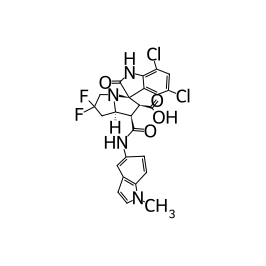 Cn1ccc2cc(NC(=O)[C@H]3[C@H]4CC(F)(F)CN4[C@]4(C(=O)Nc5c(Cl)cc(Cl)cc54)[C@H]3C(=O)O)ccc21